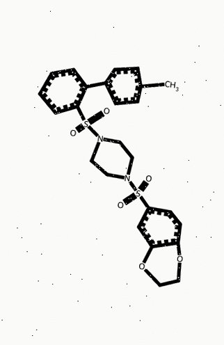 Cc1ccc(-c2ccccc2S(=O)(=O)N2CCN(S(=O)(=O)c3ccc4c(c3)OCCO4)CC2)cc1